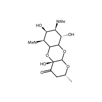 CN[C@@H]1[C@H](O)[C@H](NC)C2O[C@@]3(O)C(=O)C[C@@H](C)OC3OC2[C@H]1O